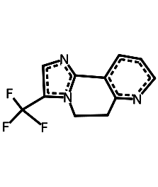 FC(F)(F)c1cnc2n1CCc1ncccc1-2